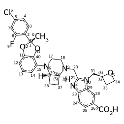 C[C@]1(c2ccc(Cl)cc2F)Oc2cccc(N3CCN(Cc4nc5ccc(C(=O)O)cc5n4C[C@@H]4CCO4)[C@H]4CC[C@@H]43)c2O1